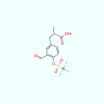 CC(Cc1ccc(OS(=O)(=O)C(F)(F)F)c(C=O)c1)C(=O)O